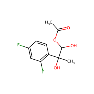 CC(=O)OC(O)C(C)(O)c1ccc(F)cc1F